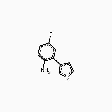 Nc1ccc(F)cc1-c1ccoc1